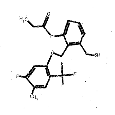 CCC(=O)Oc1cccc(CS)c1COc1cc(F)c(C)cc1C(F)(F)F